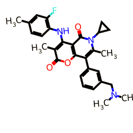 Cc1ccc(Nc2c(C)c(=O)oc3c(-c4cccc(CN(C)C)c4)c(C)n(C4CC4)c(=O)c23)c(F)c1